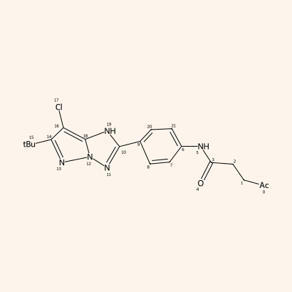 CC(=O)CCC(=O)Nc1ccc(-c2nn3nc(C(C)(C)C)c(Cl)c3[nH]2)cc1